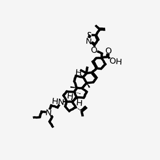 C=C(C)c1cc(OCC2(C(=O)O)CC=C(C3=CC[C@]4(C)C5CC[C@@H]6[C@H]7[C@H](C(=C)C)CC[C@]7(NCCN(CCC)CCC)CC[C@@]6(C)[C@]5(C)CC[C@H]4C3(C)C)CC2)ns1